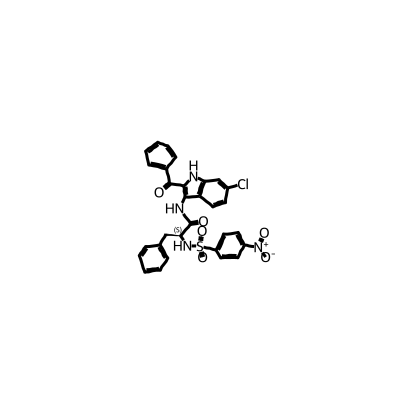 O=C(c1ccccc1)c1[nH]c2cc(Cl)ccc2c1NC(=O)[C@H](Cc1ccccc1)NS(=O)(=O)c1ccc([N+](=O)[O-])cc1